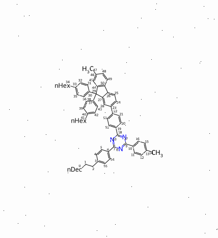 CCCCCCCCCCCCc1ccc(-c2nc(-c3ccc(C)cc3)nc(-c3ccc(-c4ccc5c(c4)C(c4ccc(CCCCCC)cc4)(c4ccc(CCCCCC)cc4)c4cc(C)ccc4-5)cc3)n2)cc1